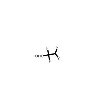 O=[C]C(F)(F)C(F)Cl